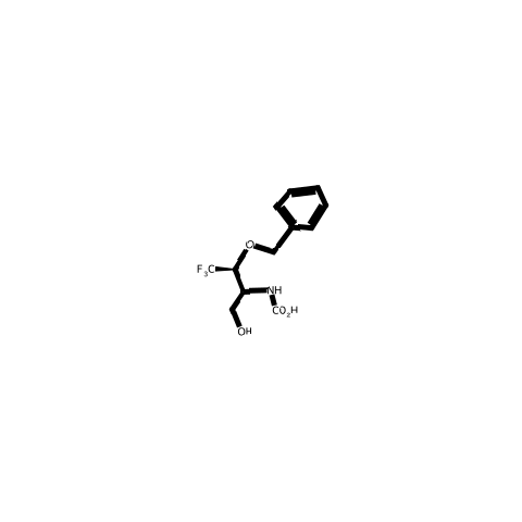 O=C(O)NC(CO)[C@H](OCc1ccccc1)C(F)(F)F